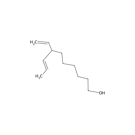 C=CC(C=CC)CCCCCCO